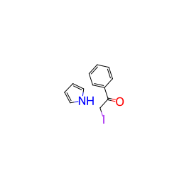 O=C(CI)c1ccccc1.c1cc[nH]c1